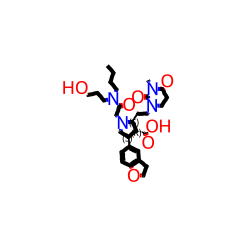 CCCCN(CCCO)C(=O)CN1C[C@H](c2ccc3c(c2)CCO3)[C@@H](C(=O)O)[C@@H]1CCN1CCC(=O)N(C)C1=O